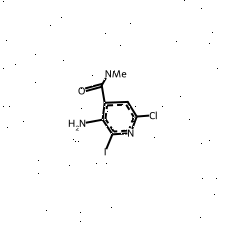 CNC(=O)c1cc(Cl)nc(I)c1N